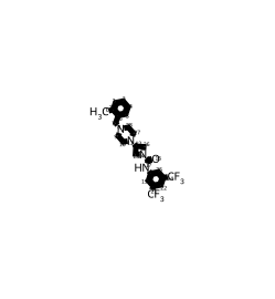 Cc1ccccc1CN1CCN(C2CN(C(=O)Nc3cc(C(F)(F)F)cc(C(F)(F)F)c3)C2)CC1